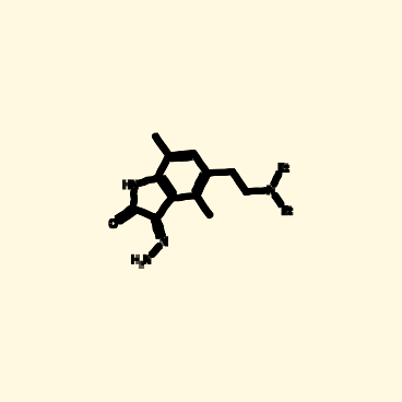 CCN(CC)CCc1cc(C)c2c(c1C)/C(=N/N)C(=O)N2